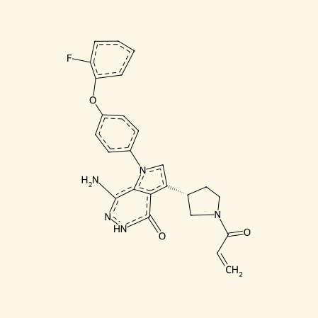 C=CC(=O)N1CC[C@@H](c2cn(-c3ccc(Oc4ccccc4F)cc3)c3c(N)n[nH]c(=O)c23)C1